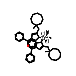 C[SiH](C)[Zr]([Cl])([Cl])([CH]1C(CC2(C)CCCCCCC2)=Cc2c(-c3ccccc3)cccc21)[CH]1C(CC2(C)CCCCCCC2)=Cc2c(-c3ccccc3)cccc21